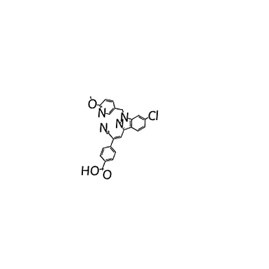 COc1ccc(Cn2nc(C=C(C#N)c3ccc(C(=O)O)cc3)c3ccc(Cl)cc32)cn1